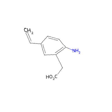 C=Cc1ccc(N)c(CC(=O)O)c1